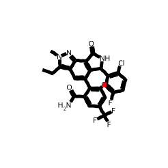 CCc1c2cc(-c3c(F)cc(C(F)(F)F)cc3C(N)=O)c3c(c2nn1C)C(=O)NC3c1cc(F)ccc1Cl